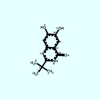 CC(C)(C)c1nc2cc(O)c(O)cc2c(=O)[nH]1